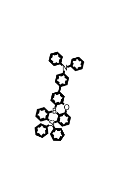 c1ccc(N(c2ccccc2)c2ccc(-c3ccc4c(c3)Oc3cccc5c3B4c3ccccc3[Si]5(c3ccccc3)c3ccccc3)cc2)cc1